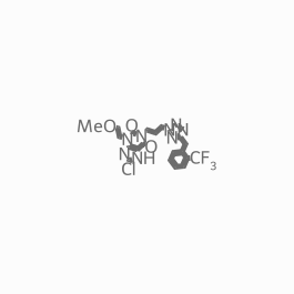 COCCn1c(=O)n(CCCn2nnc(Cc3ccccc3C(F)(F)F)n2)c(=O)c2[nH]c(Cl)nc21